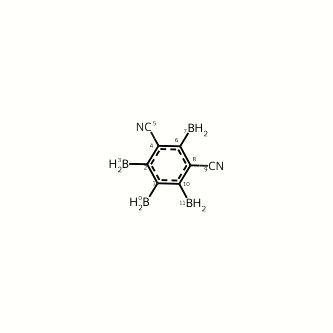 Bc1c(B)c(C#N)c(B)c(C#N)c1B